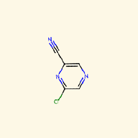 N#Cc1cncc(Cl)n1